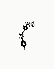 CCOC(Cc1ccc(OCc2nc(-c3ccc(F)cc3)oc2C)cc1C)C(=O)O